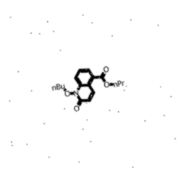 CCCCOn1c(=O)ccc2c(C(=O)OCCC)cccc21